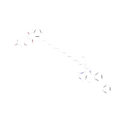 Nc1ncnc2c1c(-c1ccc(Oc3ccccc3)cc1)nn2[C@@H]1CCCN(CCCCCCCCCCSc2cccc3c2C(=O)N(C2CCC(=O)NC2=O)C3=O)C1